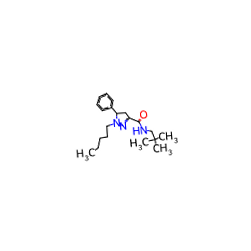 CCCCCN1N=C(C(=O)NCC(C)(C)C)CC1c1ccccc1